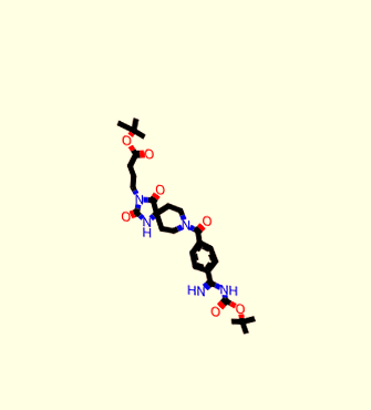 CC(C)(C)OC(=O)CCCN1C(=O)NC2(CCN(C(=O)c3ccc(C(=N)NC(=O)OC(C)(C)C)cc3)CC2)C1=O